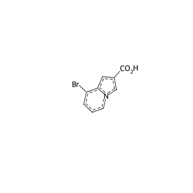 O=C(O)c1cc2c(Br)cccn2c1